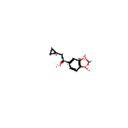 O=C(CC1CC1)c1ccc2c(c1)OCO2